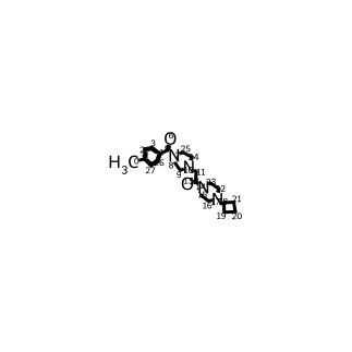 Cc1ccc(C(=O)N2CCN(CC(=O)N3CCN(C4CCC4)CC3)CC2)cc1